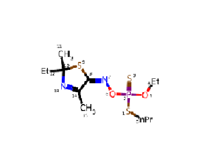 CCCSP(=S)(OCC)ON=C1SC(C)(CC)N=C1C